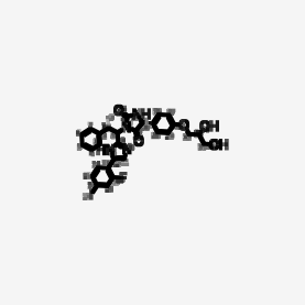 C[C@@H](c1ccccc1)C(c1ncc(-c2ccc(I)cc2F)[nH]1)N1C(=O)N[C@H](c2ccc(OC[C@H](O)CO)cc2)C1=O